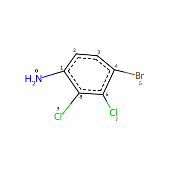 Nc1ccc(Br)c(Cl)c1Cl